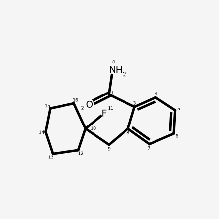 NC(=O)c1ccccc1CC1(F)CCCCC1